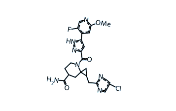 COc1cc(-c2cc(C(=O)N3CCC(C(N)=O)CC34CC4Cc3ncc(Cl)cn3)n[nH]2)c(F)cn1